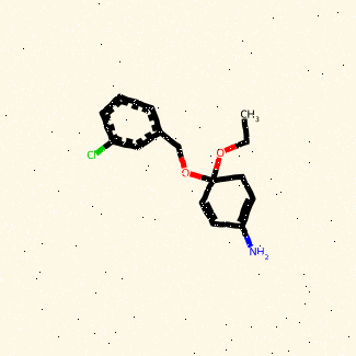 CCOC1(OCc2cccc(Cl)c2)C=CC(N)=CC1